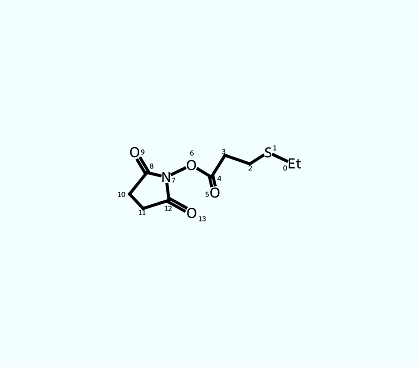 CCSCCC(=O)ON1C(=O)CCC1=O